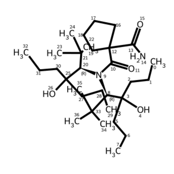 CCCC(O)(CCC)[C@H](N(C(=O)C1(C(N)=O)CCCC1)[C@H](C(C)(C)C)C(O)(CCC)CCC)C(C)(C)C